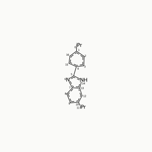 CC(C)c1ccc(-c2nc3ccc(C(C)C)cc3[nH]2)cc1